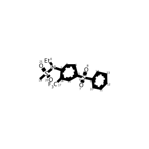 CCN(c1ccc(S(=O)(=O)c2ccccc2)cc1C(F)(F)F)S(C)(=O)=O